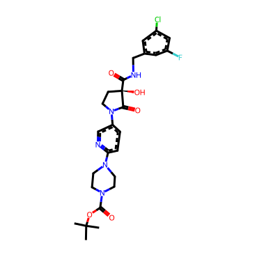 CC(C)(C)OC(=O)N1CCN(c2ccc(N3CC[C@](O)(C(=O)NCc4cc(F)cc(Cl)c4)C3=O)cn2)CC1